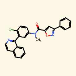 CN(C(=O)c1cc(-c2ccccc2)no1)c1ccc(Cl)c(-c2nccc3ccccc23)c1